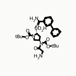 CC(C)(C)OC(=O)N1C[C@H](N(C(=O)CN)C(=O)OC(C)(C)C)C[C@H]1C(=O)O.NC(=O)c1cccc(-c2ccccc2)c1